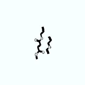 C=CCOC(=O)C=CC(=O)OC.C=CCOC=C